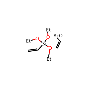 C=COC(C)=O.C=C[Si](OCC)(OCC)OCC